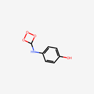 Oc1ccc(NC2OOO2)cc1